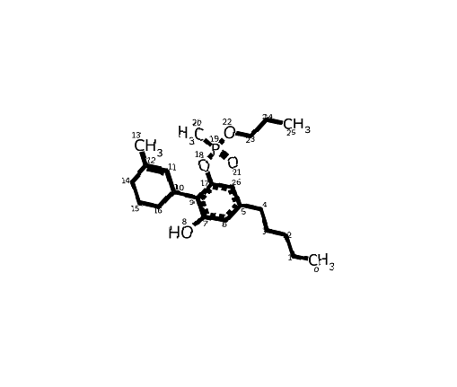 CCCCCc1cc(O)c(C2C=C(C)CCC2)c(OP(C)(=O)OCCC)c1